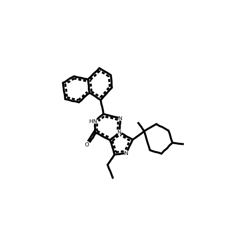 CCc1nc(C2(C)CCC(C)CC2)n2nc(-c3cccc4ccccc34)[nH]c(=O)c12